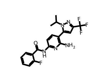 CC(C)n1nc(C(F)(F)F)cc1-c1ccc(NC(=O)c2ccccc2F)nc1N